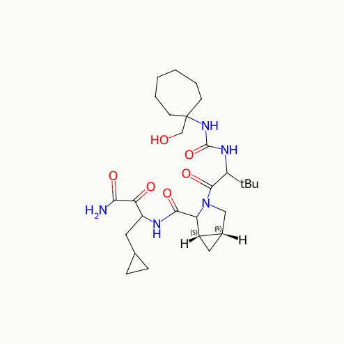 CC(C)(C)C(NC(=O)NC1(CO)CCCCCC1)C(=O)N1C[C@@H]2C[C@@H]2C1C(=O)NC(CC1CC1)C(=O)C(N)=O